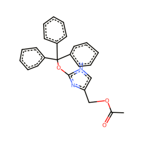 CC(=O)OCc1c[nH]c(OC(c2ccccc2)(c2ccccc2)c2ccccc2)n1